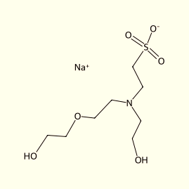 O=S(=O)([O-])CCN(CCO)CCOCCO.[Na+]